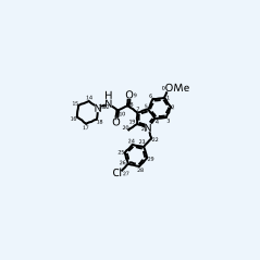 COc1ccc2c(c1)c(C(=O)C(=O)NN1CCCCC1)c(C)n2Cc1ccc(Cl)cc1